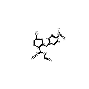 O=[C]OC(=C=O)c1ccc(Br)cc1Cc1ccc([N+](=O)[O-])cc1